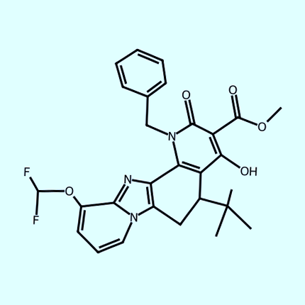 COC(=O)c1c(O)c2c(n(Cc3ccccc3)c1=O)-c1nc3c(OC(F)F)cccn3c1CC2C(C)(C)C